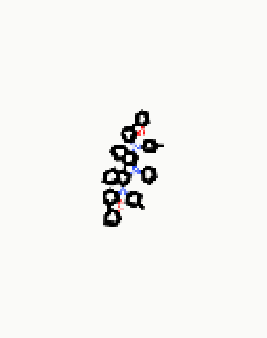 Cc1ccc(N(c2cc3c(c4ccccc24)c2c4ccccc4c(N(c4ccc(C)cc4)c4cccc5c4oc4ccccc45)cc2n3-c2ccccc2)c2cccc3c2oc2ccccc23)cc1